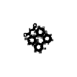 O=[C]CC=O.c1ccc(-c2ccccc2)cc1.c1ccc(-c2ccccc2)cc1